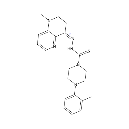 Cc1ccccc1N1CCN(C(=S)N/N=C2/CCN(C)c3cccnc32)CC1